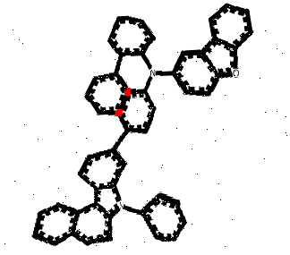 c1ccc(-c2ccccc2N(c2ccc(-c3ccc4c5c6ccccc6ccc5n(-c5ccccc5)c4c3)cc2)c2ccc3oc4ccccc4c3c2)cc1